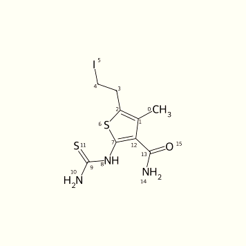 Cc1c(CCI)sc(NC(N)=S)c1C(N)=O